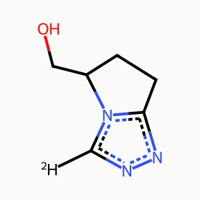 [2H]c1nnc2n1C(CO)CC2